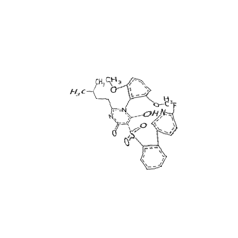 COc1cccc(OC)c1-n1c(CCC(C)C)nc(=O)c(S(=O)(=O)c2ccccc2-c2ccc(F)nc2)c1O